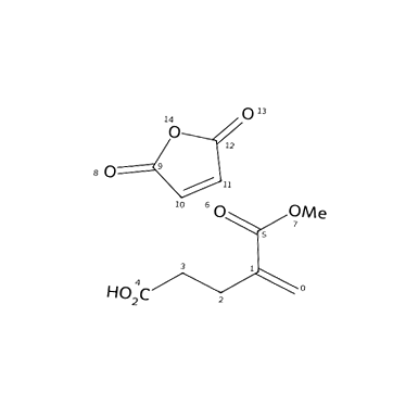 C=C(CCC(=O)O)C(=O)OC.O=C1C=CC(=O)O1